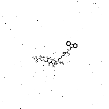 CNC(=O)[C@H](CCCNC(N)=O)NC(=O)[C@@H](NC(=O)[C@@H](N)CCCCNC(=O)OCC1c2ccccc2-c2ccccc21)C(C)C